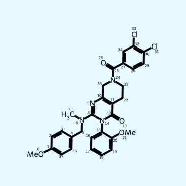 COc1ccc(CN(C)c2nc3c(c(=O)n2-c2ccccc2OC)CCN(C(=O)c2ccc(Cl)c(Cl)c2)C3)cc1